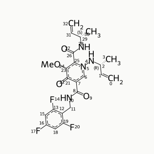 C=C[C@@H](C)Nn1cc(C(=O)NCc2c(F)cc(F)cc2F)c(=O)c(OC)c1C(=O)N[C@@H](C)C=C